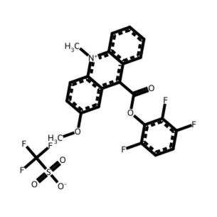 COc1ccc2c(c1)c(C(=O)Oc1c(F)ccc(F)c1F)c1ccccc1[n+]2C.O=S(=O)([O-])C(F)(F)F